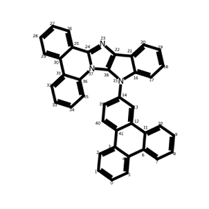 c1ccc2c(c1)c1ccccc1c1cc(-n3c4ccccc4c4nc5c6ccccc6c6ccccc6n5c43)ccc21